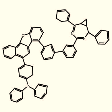 C1=CCCC(C2=NC(c3cccc(-c4cccc(-c5cccc6oc7c8ccccc8c(C8=CC=C(P(c9ccccc9)c9ccccc9)CC8)cc7c56)c4)c3)=NC(c3ccccc3)C3CC23)=C1